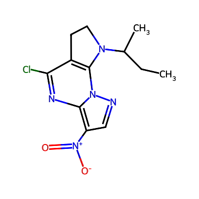 CCC(C)N1CCc2c(Cl)nc3c([N+](=O)[O-])cnn3c21